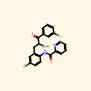 O=CC(Cc1cc(Cl)ccc1NC(=O)c1ccccn1)C(=O)c1cccc(F)c1